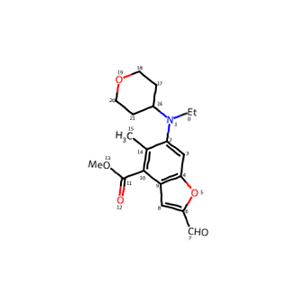 CCN(c1cc2oc(C=O)cc2c(C(=O)OC)c1C)C1CCOCC1